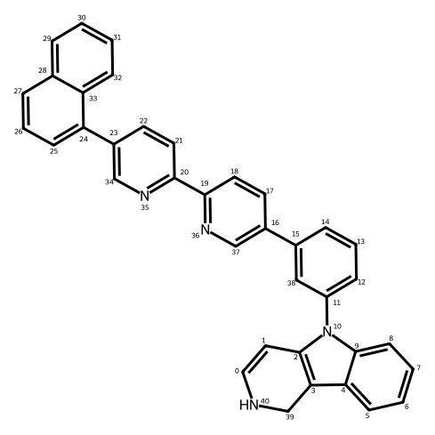 C1=Cc2c(c3ccccc3n2-c2cccc(-c3ccc(-c4ccc(-c5cccc6ccccc56)cn4)nc3)c2)CN1